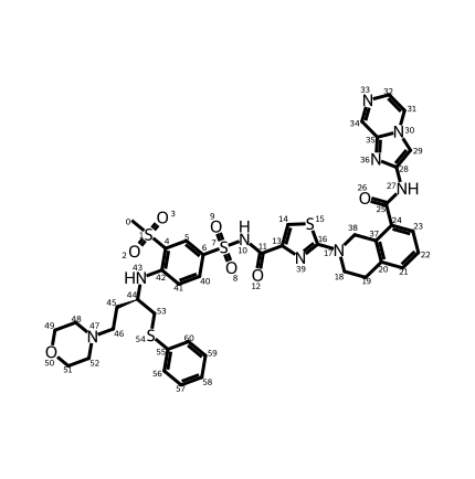 CS(=O)(=O)c1cc(S(=O)(=O)NC(=O)c2csc(N3CCc4cccc(C(=O)Nc5cn6ccncc6n5)c4C3)n2)ccc1N[C@H](CCN1CCOCC1)CSc1ccccc1